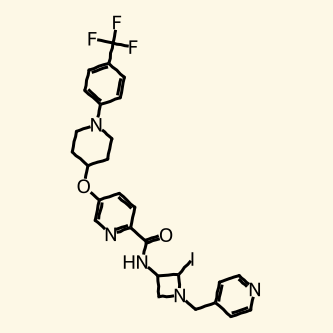 O=C(NC1CN(Cc2ccncc2)C1I)c1ccc(OC2CCN(c3ccc(C(F)(F)F)cc3)CC2)cn1